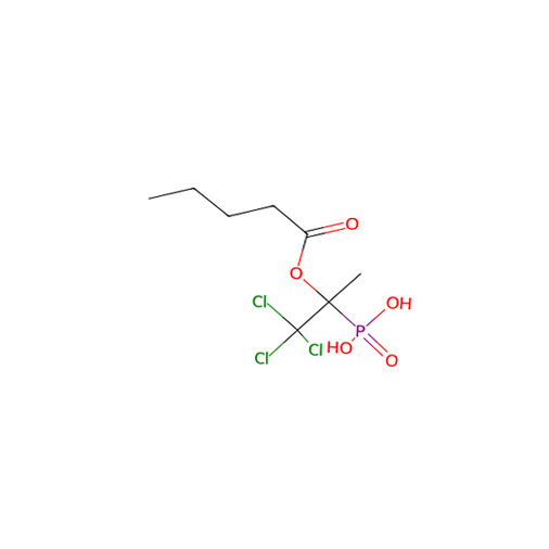 CCCCC(=O)OC(C)(C(Cl)(Cl)Cl)P(=O)(O)O